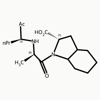 CCC[C@H](N[C@H](C)C(=O)N1C2CCCCC2C[C@H]1C(=O)O)C(C)=O